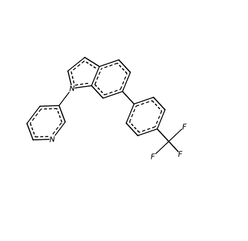 FC(F)(F)c1ccc(-c2ccc3ccn(-c4cccnc4)c3c2)cc1